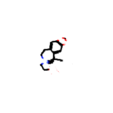 CC1=C2c3cc4c(cc3CCN3CCC[C@]23[C@H](O)[C@@H]1O)OCO4